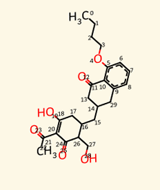 CCCCOc1cccc2c1C(=O)CC(CC1CC(O)=C(C(C)=O)C(=O)C1CO)C2